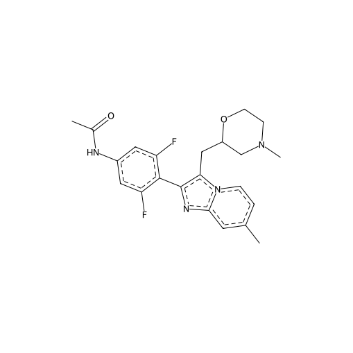 CC(=O)Nc1cc(F)c(-c2nc3cc(C)ccn3c2CC2CN(C)CCO2)c(F)c1